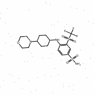 NS(=O)(=O)c1ccc(NC2CCC(N3CCOCC3)CC2)c(S(=O)(=O)C(F)(F)F)c1